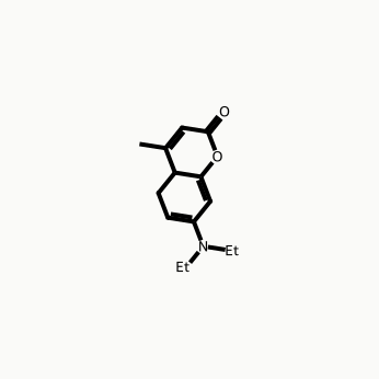 CCN(CC)C1=CCC2C(C)=CC(=O)OC2=C1